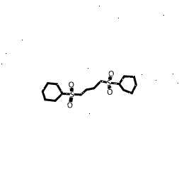 O=S(=O)(CCCCS(=O)(=O)C1CCCCC1)C1CCCCC1